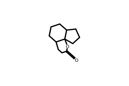 O=C1CCC2CCCC3CCCC32O1